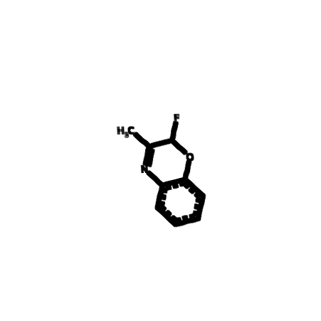 CC1=Nc2ccccc2OC1F